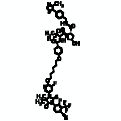 Cc1ncsc1-c1ccc(CNC2OC2[C@@H]2C[C@@H](O)CN2C(=O)[C@@H](NC(=O)c2ccc(OCCCCCCOc3ncc(N4C(=S)N(c5ccc(C#N)c(C(F)(F)F)c5F)C(=O)C4(C)C)cc3F)cc2)C(C)(C)C)cc1